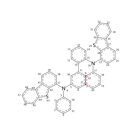 c1ccc(N(c2cccc(-c3ccccc3N(c3ccccc3)c3cccc4c3sc3ccccc34)c2)c2cccc3c2sc2ccccc23)cc1